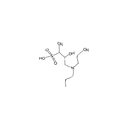 CCCN(CCO)CC(O)C(O)S(=O)(=O)O